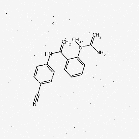 C=C(Nc1ccc(C#N)cc1)c1ccccc1N(C)C(=C)N